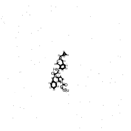 CC(C)(C)OC(=O)N1CCC(N(Cc2ccccc2)C(=O)CNc2cccc3c2CCN(CC2CC2)C3)C1